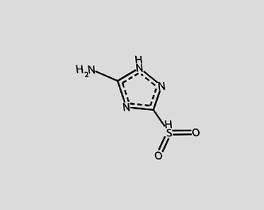 Nc1nc([SH](=O)=O)n[nH]1